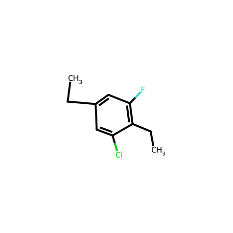 CCc1cc(F)c(CC)c(Cl)c1